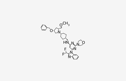 COC[C@@H]1C[C@@H](OCc2ccccc2)CN1[C@H]1CC[C@H](CNc2cc(-n3c(C(F)F)nc4ccccc43)nc(N3CCOCC3)n2)CC1